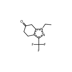 CCn1nc(C(F)(F)F)c2c1CC(=O)CC2